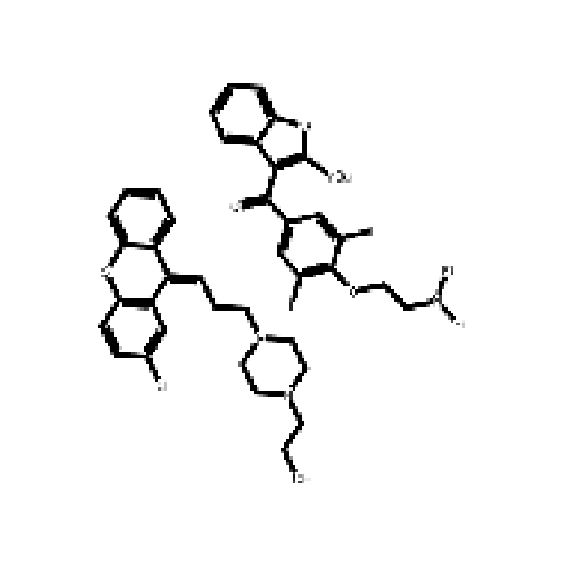 CCCCc1oc2ccccc2c1C(=O)c1cc(I)c(OCCN(CC)CC)c(I)c1.OCCN1CCN(CC/C=C2/c3ccccc3Sc3ccc(Cl)cc32)CC1